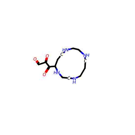 O=CC(=O)C(=O)C1CCNCCNCCCNCCN1